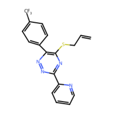 C=CCSc1nc(-c2ccccn2)nnc1-c1ccc(C(F)(F)F)cc1